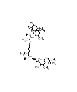 CC[C@H]1C[C@H](C)[C@@]2(NC1=O)O[C@@H](C[C@H](O)[C@@H](C)CC/C=C/C=C(\C)[C@H](C/C=C/C=C/[C@H](O)[C@H](C)[C@H]1OC(C)(C)CC[C@H]1C(C)C)C(C)C)[C@H](C)C=C2C